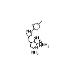 NNc1nc(N)cc(Cc2cnn(-c3ccc(F)cn3)c2)c1N